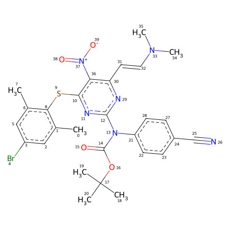 Cc1cc(Br)cc(C)c1Sc1nc(N(C(=O)OC(C)(C)C)c2ccc(C#N)cc2)nc(C=CN(C)C)c1[N+](=O)[O-]